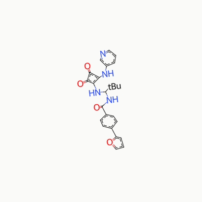 CC(C)(C)C(NC(=O)c1ccc(-c2ccco2)cc1)Nc1c(Nc2cccnc2)c(=O)c1=O